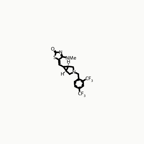 CNC1=NC(=O)SC1=CC1[C@H]2CN(Cc3ccc(C(F)(F)F)cc3C(F)(F)F)C[C@@H]12